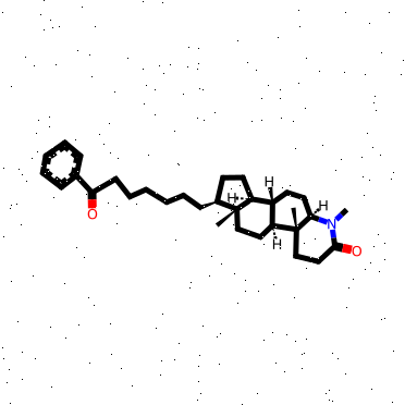 CN1C(=O)CC[C@]2(C)[C@H]3CC[C@]4(C)[C@@H](CCCCCCC(=O)c5ccccc5)CC[C@H]4[C@@H]3CC[C@@H]12